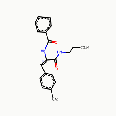 CC(=O)Oc1ccc(/C=C(/NC(=O)c2ccccc2)C(=O)NCCC(=O)O)cc1